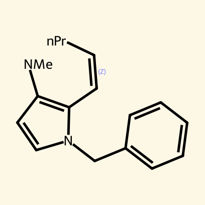 CCC/C=C\c1c(NC)ccn1Cc1ccccc1